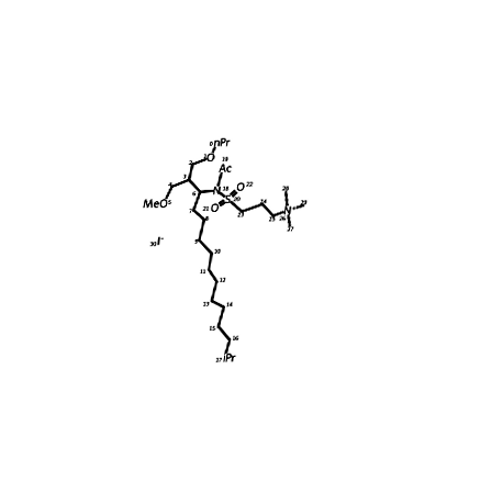 CCCOCC(COC)C(CCCCCCCCCCC(C)C)N(C(C)=O)S(=O)(=O)CCC[N+](C)(C)C.[I-]